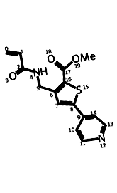 C=CC(=O)NCc1cc(-c2ccncc2)sc1C(=O)OC